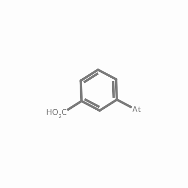 O=C(O)c1cccc([At])c1